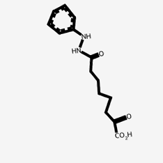 O=C(CCCCCC(=O)C(=O)O)NNc1ccccc1